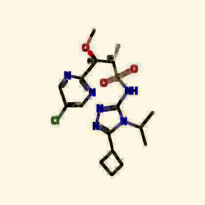 CO[C@H](c1ncc(Cl)cn1)[C@H](C)S(=O)(=O)Nc1nnc(C2CCC2)n1C(C)C